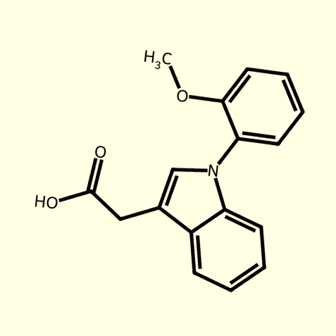 COc1ccccc1-n1cc(CC(=O)O)c2ccccc21